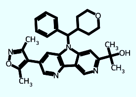 Cc1noc(C)c1-c1cnc2c3cnc(C(C)(C)O)cc3n(C(c3ccccc3)C3CCOCC3)c2c1